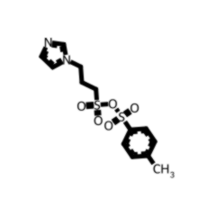 Cc1ccc(S(=O)(=O)OS(=O)(=O)CCCn2ccnc2)cc1